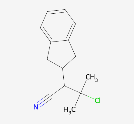 CC(C)(Cl)C(C#N)C1Cc2ccccc2C1